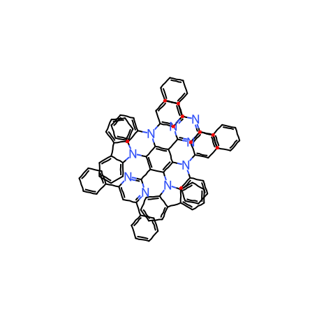 c1ccc(-c2cc(-c3ccccc3)nc(-c3c(-n4c5ccccc5c5ccccc54)c(N(c4ccccc4)c4ccccc4)c(-c4nc(-c5ccccc5)nc(-c5ccccc5)n4)c(N(c4ccccc4)c4ccccc4)c3-n3c4ccccc4c4ccccc43)n2)cc1